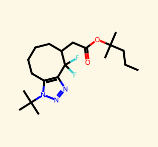 CCCC(C)(C)OC(=O)CC1CCCCc2c(nnn2C(C)(C)C)C1(F)F